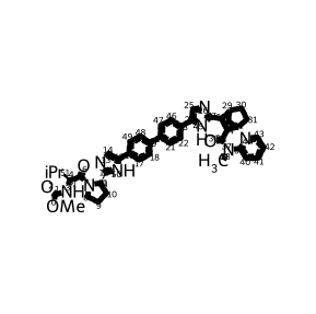 COC(=O)N[C@H](C(=O)N1CCC[C@H]1c1ncc(-c2ccc(-c3ccc(-c4cnc(C5C6CCC(C6)C5C(=O)N(C)c5ccccn5)[nH]4)cc3)cc2)[nH]1)C(C)C